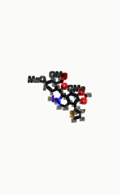 COc1ccc2c(c1OC)C(=O)OC2[C@H]1c2c(c(-c3cccs3)c3c(c2OC)OCO3)CCN1I